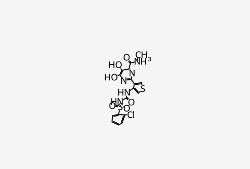 CNC(=O)c1nc(-c2cscc2NC(=O)NS(=O)(=O)c2ccccc2Cl)nc(O)c1O